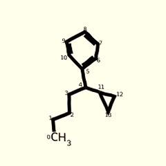 CCCCC(c1ccccc1)C1CC1